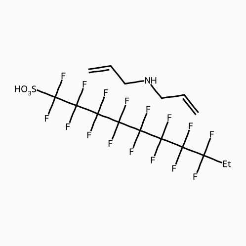 C=CCNCC=C.CCC(F)(F)C(F)(F)C(F)(F)C(F)(F)C(F)(F)C(F)(F)C(F)(F)C(F)(F)S(=O)(=O)O